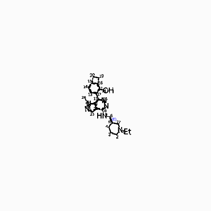 CCN1CCC/C(=C\Nc2nnc(-c3ccc4c(c3O)CC4)c3c2cnn3C)C1